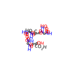 CC(C)(NC(=O)OCCOCCO)c1cccc(C(C)(C)NC(=O)Oc2ccc(C(C)(CCC(=O)O)c3ccc(OC(=O)NC(C)(C)c4cccc(C(C)(C)NC(=O)OCCOCCOC(=O)NC(C)(C)c5cccc(C(C)(C)NC(=O)Oc6ccc(C(C)(CCC(=O)O)c7ccc(O)cc7)cc6)c5)c4)cc3)cc2)c1